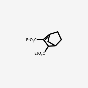 CCOC(=O)C1=C2CCC(C2)C1C(=O)OCC